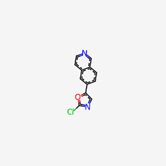 Clc1ncc(-c2ccc3cnccc3c2)o1